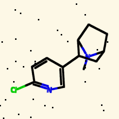 CN1C2CCC1C(c1ccc(Cl)nc1)C2